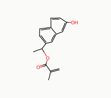 C=C(C)C(=O)OC(C)c1ccc2ccc(O)cc2c1